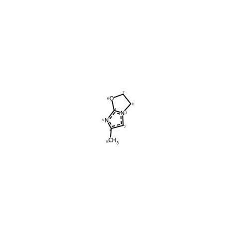 Cc1cn2c(n1)OCC2